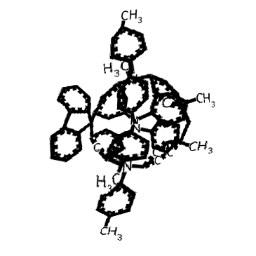 Cc1ccc(N(c2ccc(C)cc2)c2cc3cc(c2)C2(c4cc(N(c5ccc(C)cc5)c5ccc(C)cc5)cc(c4)N(c4ccc(C)cc4)c4ccc(cc4)Cc4ccc(cc4)N3c3ccc(C)cc3)c3ccccc3-c3ccccc32)cc1